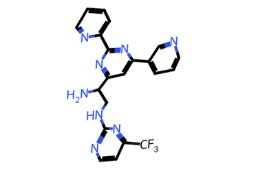 NC(CNc1nccc(C(F)(F)F)n1)c1cc(-c2cccnc2)nc(-c2ccccn2)n1